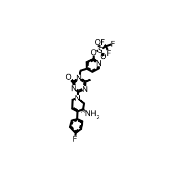 Cc1nc(N2CC=C(c3ccc(F)cc3)[C@@H](N)C2)nc(=O)n1Cc1ccnc(OS(=O)(=O)C(F)(F)F)c1